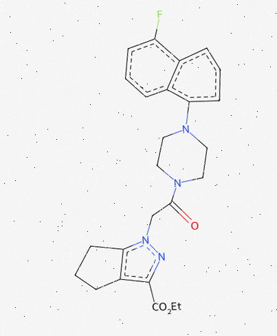 CCOC(=O)c1nn(CC(=O)N2CCN(c3cccc4c(F)cccc34)CC2)c2c1CCC2